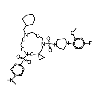 COc1cc(F)ccc1N1CCN(S(=O)(=O)N2CCCN(CC3CCCCC3)CCCN(S(=O)(=O)c3ccc(N(C)C)cc3)CC3(CC3)C2)CC1